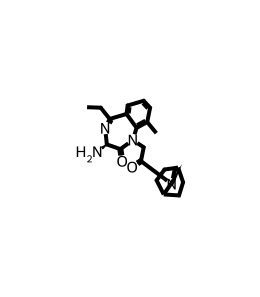 CCC1=N[C@H](N)C(=O)N(CC(=O)N2CC3CCC(CC3)C2)c2c(C)cccc21